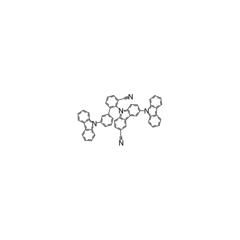 N#Cc1ccc2c(c1)c1cc(-n3c4ccccc4c4ccccc43)ccc1n2-c1c(C#N)cccc1-c1cccc(-n2c3ccccc3c3ccccc32)c1